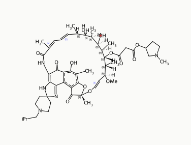 CO[C@H]1/C=C/O[C@@]2(C)Oc3c(C)c(O)c4c(c3C2=O)C2=NC3(CCN(CC(C)C)CC3)NC2=C(NC(=O)/C(C)=C\C=C\[C@H](C)[C@H](O)[C@@H](C)[C@@H](O)[C@@H](C)[C@H](OC(=O)CC(=O)OC2CCN(C)C2)[C@@H]1C)C4=O